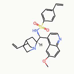 C=Cc1ccc(S(=O)(=O)N[C@@H](c2ccnc3ccc(OC)cc23)[C@@H]2CC3CCN2CC3C=C)cc1